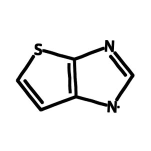 C1=Nc2sccc2[N]1